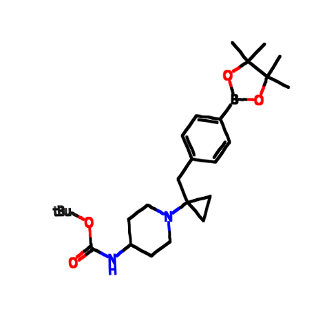 CC(C)(C)OC(=O)NC1CCN(C2(Cc3ccc(B4OC(C)(C)C(C)(C)O4)cc3)CC2)CC1